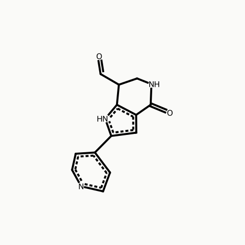 O=CC1CNC(=O)c2cc(-c3ccncc3)[nH]c21